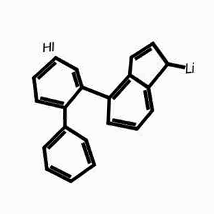 I.[Li][CH]1C=Cc2c(-c3ccccc3-c3ccccc3)cccc21